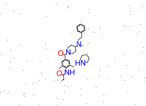 C1CCNCC1.CCC(=O)Nc1c(C)cc(C(=O)N2CCC(N(C)CCc3ccccc3)CC2)cc1C